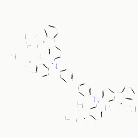 CC1(C)COc2ccc(N(c3ccc(-c4ccc(N(c5ccc6c(c5)C(C)(C)CO6)c5ccc6c(c5)C(C)(C)c5ccccc5-6)cc4)cc3)c3ccc4c(c3)C(C)(C)c3ccccc3-4)cc21